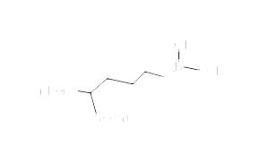 CCCCCC(CCCCC)CCCOB(O)O